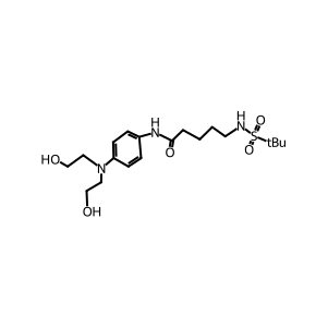 CC(C)(C)S(=O)(=O)NCCCCC(=O)Nc1ccc(N(CCO)CCO)cc1